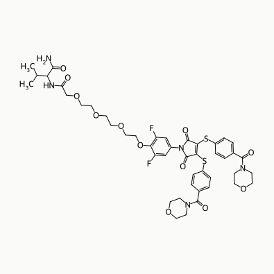 CC(C)C(NC(=O)COCCOCCOCCOc1c(F)cc(N2C(=O)C(Sc3ccc(C(=O)N4CCOCC4)cc3)=C(Sc3ccc(C(=O)N4CCOCC4)cc3)C2=O)cc1F)C(N)=O